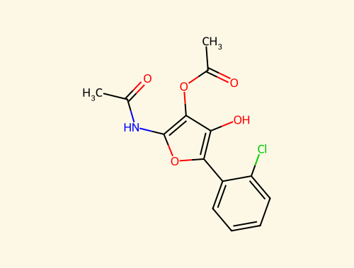 CC(=O)Nc1oc(-c2ccccc2Cl)c(O)c1OC(C)=O